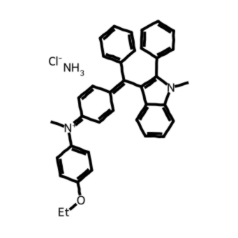 CCOc1ccc([N+](C)=C2C=CC(=C(c3ccccc3)c3c(-c4ccccc4)n(C)c4ccccc34)C=C2)cc1.N.[Cl-]